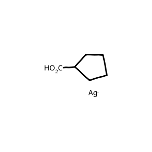 O=C(O)C1CCCC1.[Ag]